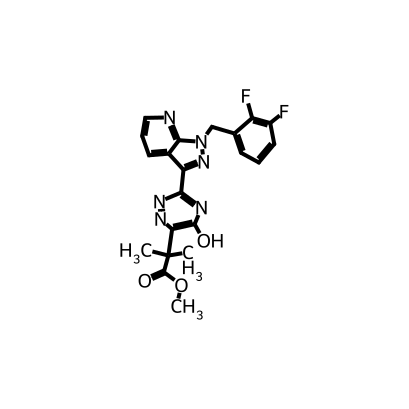 COC(=O)C(C)(C)c1nnc(-c2nn(Cc3cccc(F)c3F)c3ncccc23)nc1O